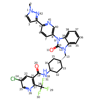 Cn1ccc(-c2ccc(-n3c(=O)n(C[C@H]4CC[C@H](NC(=O)c5cc(Cl)cnc5C(F)(F)F)CC4)c4ccccc43)cn2)n1